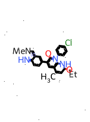 CCOC1C=C(C)c2cc(C3=C/C(=C/NC)C(=N)C=C3)c(=O)n(-c3ccc(Cl)cc3)c2N1